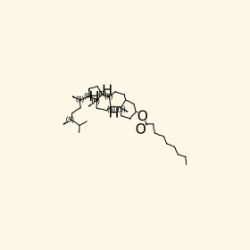 CCCCCCCCC(=O)OC1CC[C@@]2(C)C(CC[C@H]3[C@@H]4CC[C@H]([C@H](C)CC[C@H](C)C(C)C)[C@@]4(C)CC[C@@H]32)C1